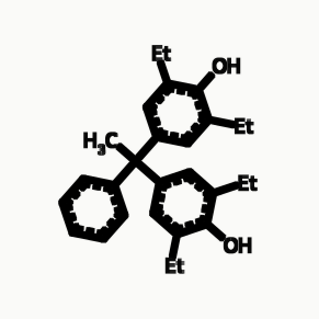 CCc1cc(C(C)(c2ccccc2)c2cc(CC)c(O)c(CC)c2)cc(CC)c1O